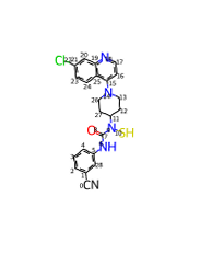 N#Cc1cccc(NC(=O)N(S)C2CCN(c3ccnc4cc(Cl)ccc34)CC2)c1